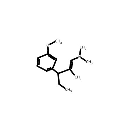 CCC(C(C)=CN(C)C)c1cccc(OC)c1